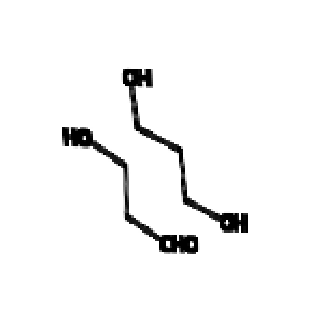 O=CCCO.OCCCO